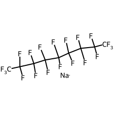 FC(F)(F)C(F)(F)C(F)(F)C(F)(F)C(F)(F)C(F)(F)C(F)(F)C(F)(F)C(F)(F)F.[Na]